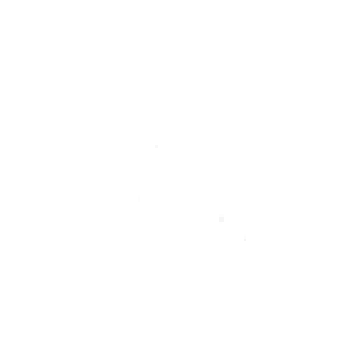 CC(C)(C)[SiH2]OC(C)(C)[C@]1(O)C[C@@H](C(=O)O)N(C(=O)O)C1